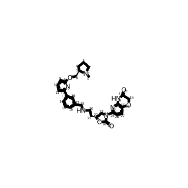 CN1CCC[C@@H]1COc1cccc(-c2cccc(CNCC[C@H]3CN(c4ccc5c(n4)NC(=O)CO5)C(=O)O3)c2)n1